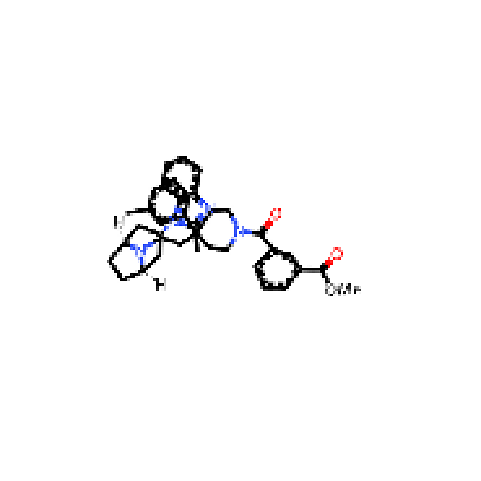 COC(=O)c1cccc(C(=O)N2CCC(CCN3[C@@H]4CC[C@H]3C[C@@H](n3c(C)nc5ccccc53)C4)(c3cccc(C)c3)CC2)c1